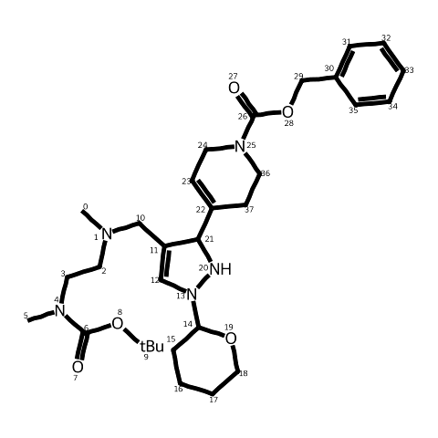 CN(CCN(C)C(=O)OC(C)(C)C)CC1=CN(C2CCCCO2)NC1C1=CCN(C(=O)OCc2ccccc2)CC1